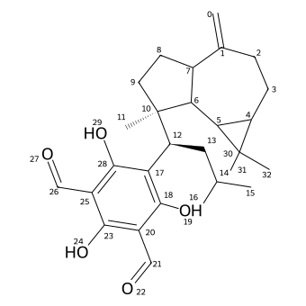 C=C1CCC2C(C3C1CC[C@]3(C)[C@@H](CC(C)C)c1c(O)c(C=O)c(O)c(C=O)c1O)C2(C)C